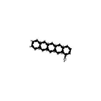 Clc1cccc2cc3cc4cc5ccccc5cc4cc3cc12